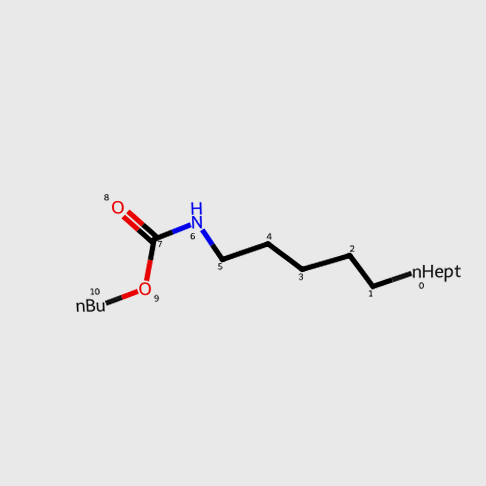 CCCCCCCCCCCCNC(=O)OCCCC